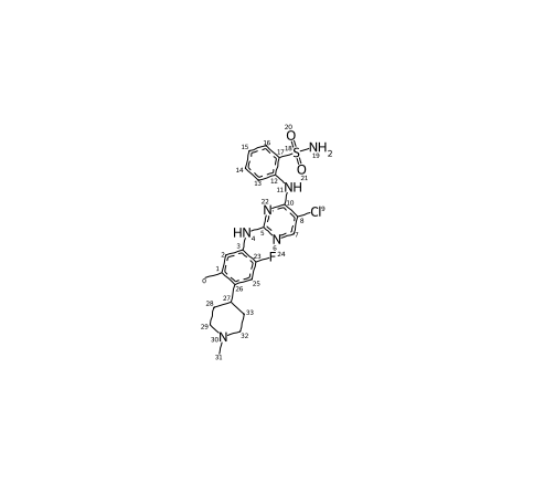 Cc1cc(Nc2ncc(Cl)c(Nc3ccccc3S(N)(=O)=O)n2)c(F)cc1C1CCN(C)CC1